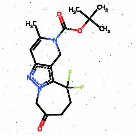 CC1=Cc2nn3c(c2CN1C(=O)OC(C)(C)C)C(F)(F)CCC(=O)C3